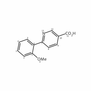 COc1ccccc1-c1ccc(C(=O)O)cn1